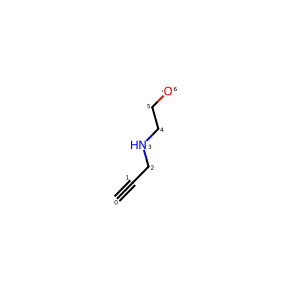 C#CCNCC[O]